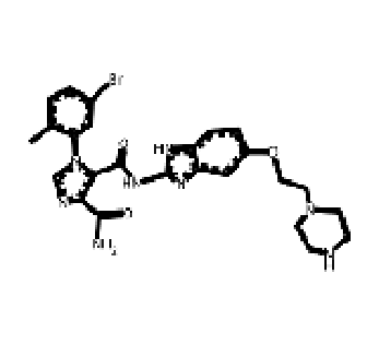 Cc1ccc(Br)cc1-n1cnc(C(N)=O)c1C(=O)Nc1nc2cc(OCCN3CCNCC3)ccc2[nH]1